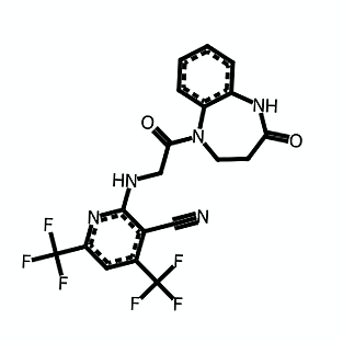 N#Cc1c(C(F)(F)F)cc(C(F)(F)F)nc1NCC(=O)N1CCC(=O)Nc2ccccc21